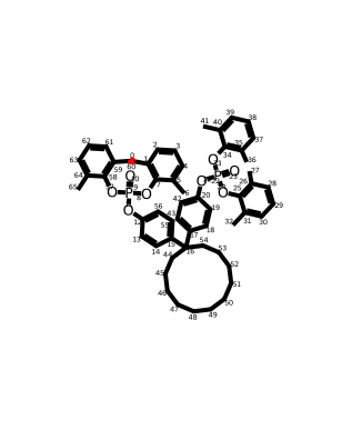 Cc1cccc(C)c1OP(=O)(Oc1ccc(C2(c3ccc(OP(=O)(Oc4c(C)cccc4C)Oc4c(C)cccc4C)cc3)CCCCCCCCCCC2)cc1)Oc1c(C)cccc1C